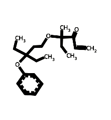 C=CC(=O)C(C)(CC)OCCC(CC)(CC)Oc1ccccc1